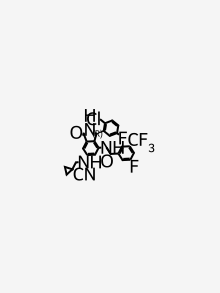 N#CC1(CNc2cc(NC(=O)c3cc(F)cc(C(F)(F)F)c3)c3c(c2)C(=O)N[C@H]3c2cc(F)ccc2Cl)CC1